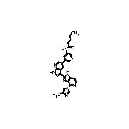 CCCCC(=O)Nc1cncc(-c2cnc3[nH]nc(-c4nc5c(-n6cnc(C)c6)nccc5[nH]4)c3c2)c1